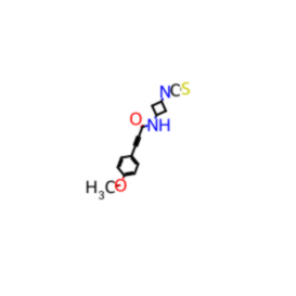 COc1ccc(C#CC(=O)NC2CC(N=C=S)C2)cc1